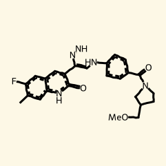 COCC1CCN(C(=O)c2ccc(N/C=C(\N=N)c3cc4cc(F)c(C)cc4[nH]c3=O)cc2)C1